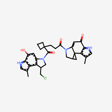 Cc1c[nH]c2c1C13CC1CN(C(=O)CCC1(C(=O)N4CC(CCl)c5c4cc(O)c4[nH]cc(C)c54)CCC1)C3=CC2=O